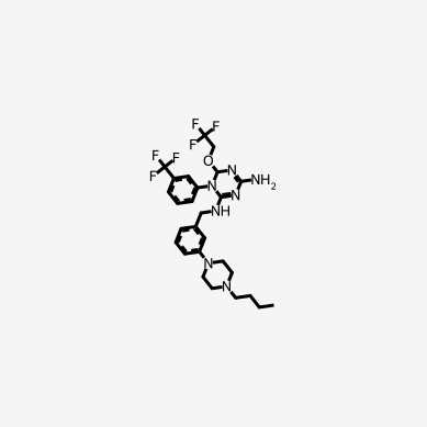 CCCCN1CCN(c2cccc(CNC3=NC(N)=NC(OCC(F)(F)F)N3c3cccc(C(F)(F)F)c3)c2)CC1